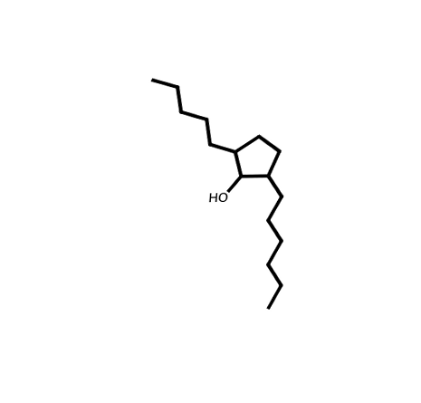 CCCCCCC1CCC(CCCCC)C1O